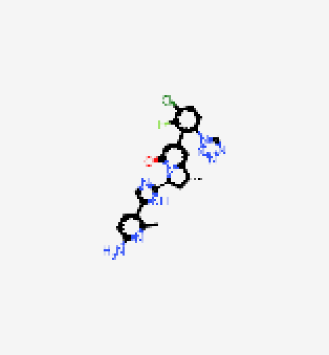 Cc1nc(N)ccc1-c1cnc([C@@H]2C[C@@H](C)c3cc(-c4c(-n5cnnn5)ccc(Cl)c4F)cc(=O)n32)[nH]1